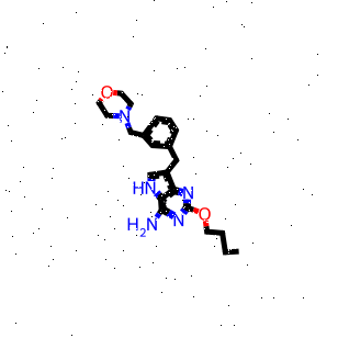 CCCCOc1nc(N)c2[nH]cc(Cc3cccc(CN4CCOCC4)c3)c2n1